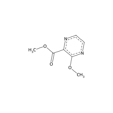 COC(=O)c1nccnc1OC